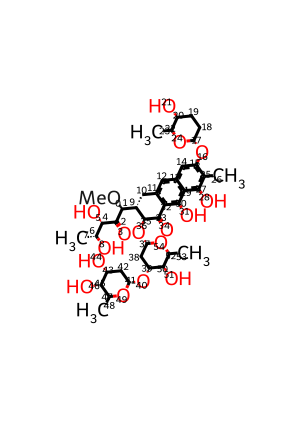 CO[C@H](C(=O)[C@@H](O)[C@@H](C)O)[C@@H]1Cc2cc3cc(O[C@H]4CC[C@H](O)C(C)O4)c(C)c(O)c3c(O)c2C(=O)[C@H]1O[C@H]1C[C@@H](O[C@H]2C[C@@H](O)[C@@H](O)C(C)O2)[C@H](O)C(C)O1